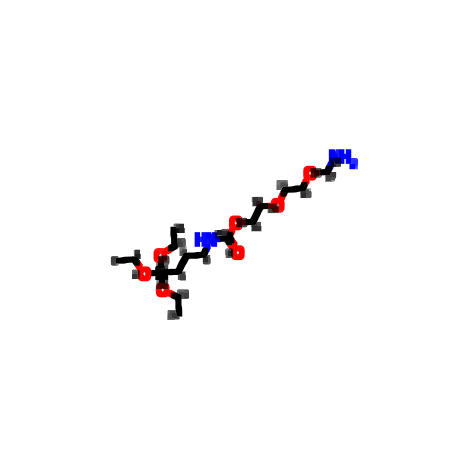 CCO[Si](CCCNC(=O)OCCOCCOCN)(OCC)OCC